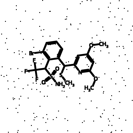 COc1cc(OC)nc(C(SC)c2cccc(Br)c2C(C(F)(F)F)S(N)(=O)=O)c1